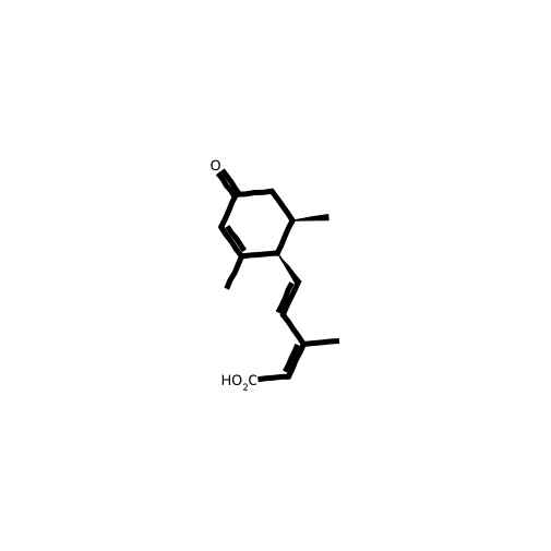 CC1=CC(=O)C[C@@H](C)[C@H]1/C=C/C(C)=C\C(=O)O